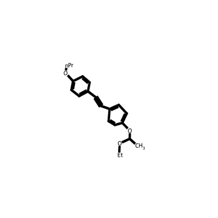 CCCOc1ccc(C#Cc2ccc(OC(C)OCC)cc2)cc1